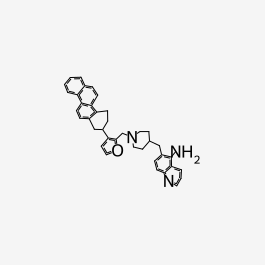 Nc1c(CC2CCN(Cc3occc3C3CCc4c(ccc5c4ccc4ccccc45)C3)CC2)ccc2ncccc12